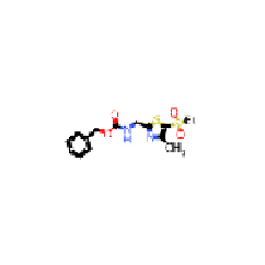 CCS(=O)(=O)c1sc(CNC(=O)OCc2ccccc2)nc1C